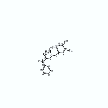 CN(C(=O)C[C@H](N)Cc1cc(F)c(F)cc1F)c1ccccc1